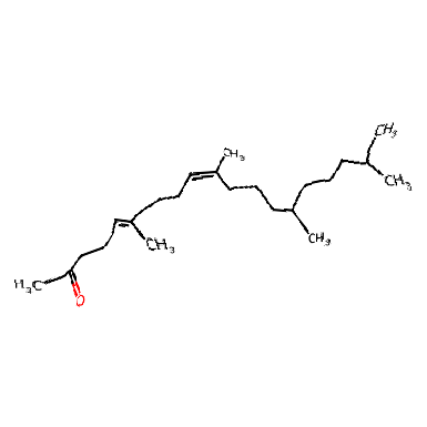 CC(=O)CC/C=C(\C)CC/C=C(/C)CCCC(C)CCCC(C)C